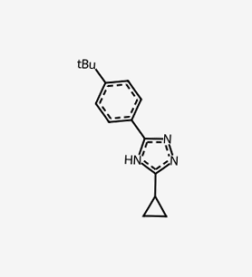 CC(C)(C)c1ccc(-c2nnc(C3CC3)[nH]2)cc1